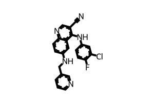 N#Cc1cnc2ccc(NCc3cccnc3)cc2c1Nc1ccc(F)c(Cl)c1